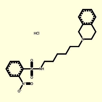 Cl.O=[N+]([O-])c1ccccc1S(=O)(=O)NCCCCCCN1CCc2ccccc2C1